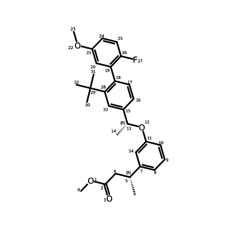 COC(=O)C[C@@H](C)c1cccc(O[C@H](C)c2ccc(-c3cc(OC)ccc3F)c(C(C)(C)C)c2)c1